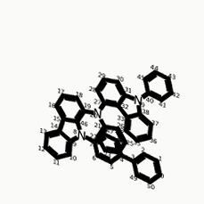 c1ccc(-c2ccc(-n3c4ccccc4c4cccc(N(c5ccccc5)c5cccc6c5c5ccccc5n6-c5ccccc5)c43)cc2)cc1